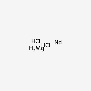 Cl.Cl.[MgH2].[Nd]